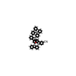 N#Cc1ccc2c(c1)c1ccccc1n2-c1cccc2c3ccccc3n(-c3ccc4c(c3)c3ccccc3n4-c3cccc([Si](c4ccccc4)(c4ccccc4)c4ccccc4)c3)c12